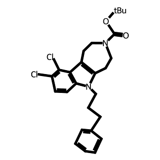 CC(C)(C)OC(=O)N1CCc2c(n(CCCc3ccccc3)c3ccc(Cl)c(Cl)c23)CC1